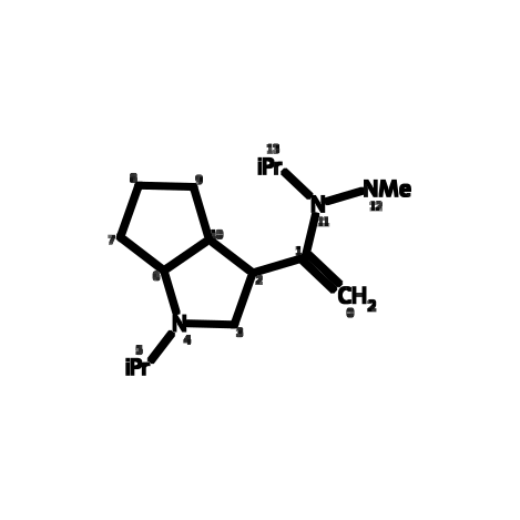 C=C(C1CN(C(C)C)C2CCCC12)N(NC)C(C)C